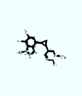 C=N/C=C(\C=N/CCl)C1CC1c1cc(F)c(F)c2c1cnn2CCCC